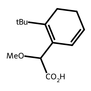 COC(C(=O)O)C1=C(C(C)(C)C)CCC=C1